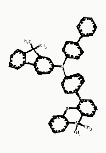 CC1(C)c2ccccc2-c2ccc(N(c3ccc(-c4ccccc4)cc3)c3ccc(-c4cccc5c4Sc4ccccc4[Si]5(C)C)cc3)cc21